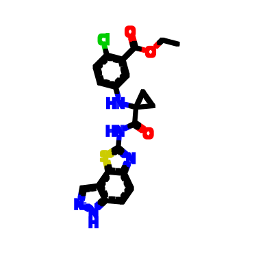 CCOC(=O)c1cc(NC2(C(=O)Nc3nc4ccc5[nH]ncc5c4s3)CC2)ccc1Cl